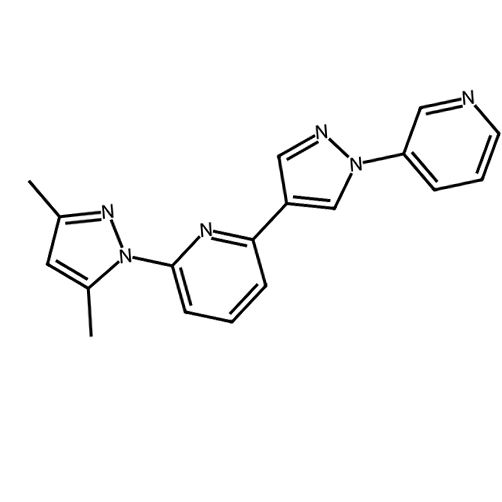 Cc1cc(C)n(-c2cccc(-c3cnn(-c4cccnc4)c3)n2)n1